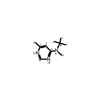 Cc1cc(N(C)C(C)(C)C)ncn1